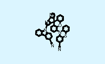 N#Cc1ccc2c(c1)Sc1ccccc1N2c1cccc2c1Oc1ccccc1C21c2cccnc2-c2ncc(-n3c4ccccc4c4cc(C#N)ccc43)cc21